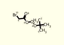 CC(C)(C)OOOC(=O)CBr